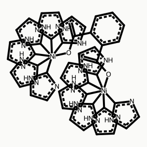 O=C([O][Ni]([c]1ncc[nH]1)([c]1ncc[nH]1)([c]1ncc[nH]1)([c]1ncc[nH]1)([c]1ncc[nH]1)[c]1ncc[nH]1)c1ccccc1C(=O)[O][Ni]([c]1ncc[nH]1)([c]1ncc[nH]1)([c]1ncc[nH]1)([c]1ncc[nH]1)([c]1ncc[nH]1)[c]1ncc[nH]1